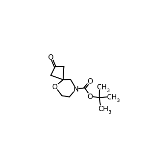 CC(C)(C)OC(=O)N1CCOC2(CC(=O)C2)C1